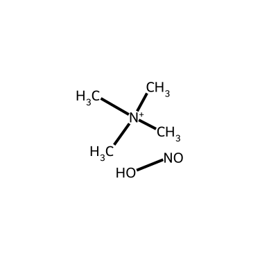 C[N+](C)(C)C.O=NO